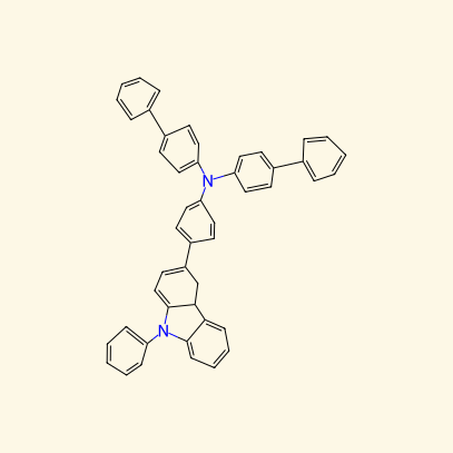 C1=C(c2ccc(N(c3ccc(-c4ccccc4)cc3)c3ccc(-c4ccccc4)cc3)cc2)CC2C(=C1)N(c1ccccc1)c1ccccc12